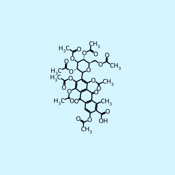 CC(=O)OC[C@H]1OC(c2c(OC(C)=O)c(OC(C)=O)c3c(c2OC(C)=O)C(=O)c2c(cc(OC(C)=O)c(C(=O)O)c2C)C3=O)[C@H](OC(C)=O)[C@@H](OC(C)=O)[C@@H]1OC(C)=O